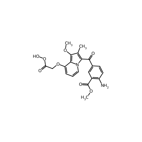 COC(=O)c1cc(C(=O)c2c(C)c(OC)c3c(OCC(=O)OO)cccn23)ccc1N